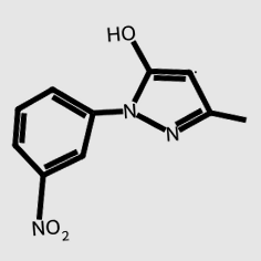 Cc1[c]c(O)n(-c2cccc([N+](=O)[O-])c2)n1